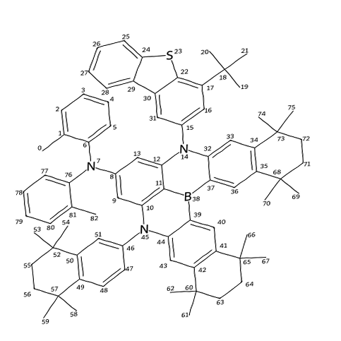 Cc1ccccc1N(c1cc2c3c(c1)N(c1cc(C(C)(C)C)c4sc5ccccc5c4c1)c1cc4c(cc1B3c1cc3c(cc1N2c1ccc2c(c1)C(C)(C)CCC2(C)C)C(C)(C)CCC3(C)C)C(C)(C)CCC4(C)C)c1ccccc1C